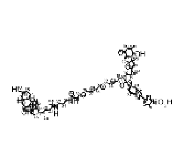 CC1=C(C)C(O)C(C(C)(C)CC(=O)N(C)CCN(CCOCCOCCOCCOCCC(=O)NCCCNC(=O)CC[C@H](C)[C@@H]2CC[C@@H]3[C@@H]4[C@@H](CC[C@]32C)[C@]2(C)CC[C@H](O)C[C@@H]2C[C@@H]4O)C(=O)Oc2ccc3nc(C4=NC(C(=O)O)CS4)sc3c2)=C(C)C1=O